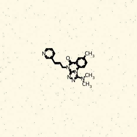 Cc1ccc2c(c1)c(=O)n(C/C=C/c1cccnc1)c1nnc(N(C)C)n21